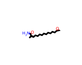 CC(=CCCCCCCCCCCC1CO1)C(N)=O